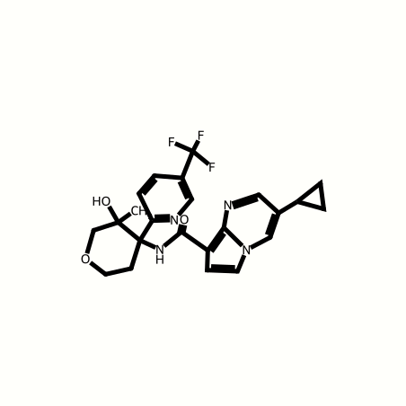 CC1(O)COCCC1(NC(=O)c1ccn2cc(C3CC3)cnc12)c1ccc(C(F)(F)F)cn1